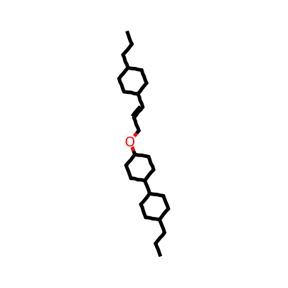 CCCC1CCC(C=CCOC2CCC(C3CCC(CCC)CC3)CC2)CC1